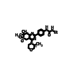 CCNC(=O)Nc1ccc(-c2nc3c(c(N4CCOC[C@@H]4C)n2)CS(=O)(=O)C(C)(C)C3)cc1